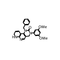 COc1cc(OC)cc(N2Cc3cnc4c(c3N(Cc3ccccc3)C2=O)C=CCN4)c1